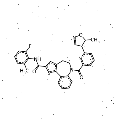 Cc1cccc(F)c1NC(=O)c1cc2c(s1)-c1ccccc1N(C(=O)c1cccc(C3C=NOC3C)n1)CC2